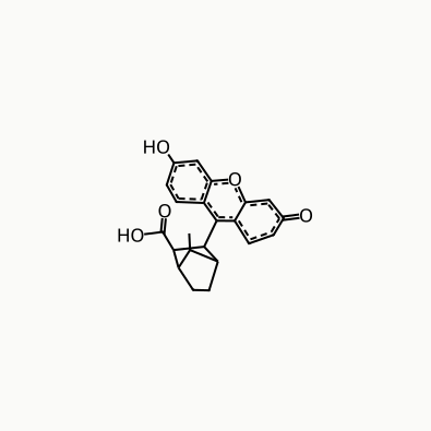 CC1C2CCC1C(c1c3ccc(=O)cc-3oc3cc(O)ccc13)C2C(=O)O